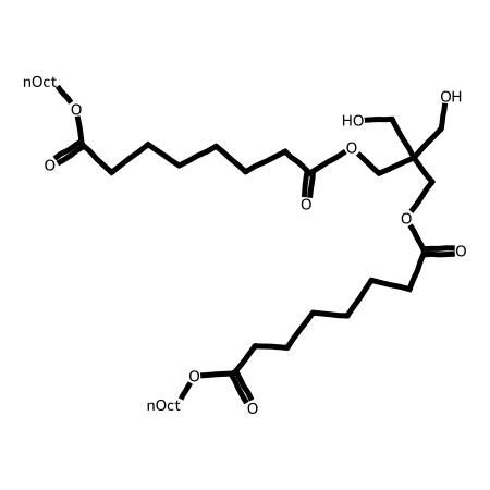 CCCCCCCCOC(=O)CCCCCCC(=O)OCC(CO)(CO)COC(=O)CCCCCCC(=O)OCCCCCCCC